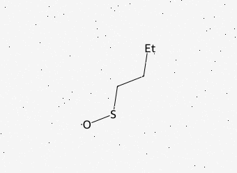 CCCCS[O]